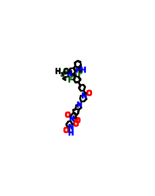 C[C@@H]1Cc2c([nH]c3ccccc23)[C@@H](c2c(F)cc(C3=CCC(C(=O)N4CCC(N5Cc6cc7c(cc6C5)C(=O)N(C5CCC(=O)NC5=O)C7=O)CC4)CC3)cc2F)N1CC1(F)CC1